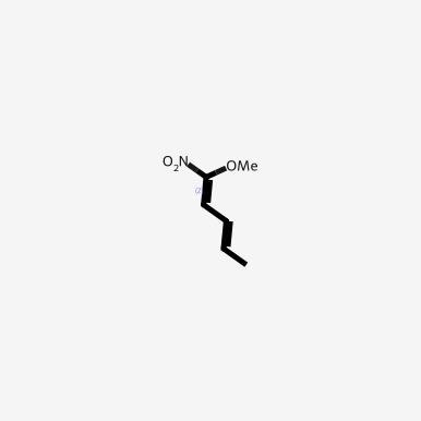 CC=C/C=C(\OC)[N+](=O)[O-]